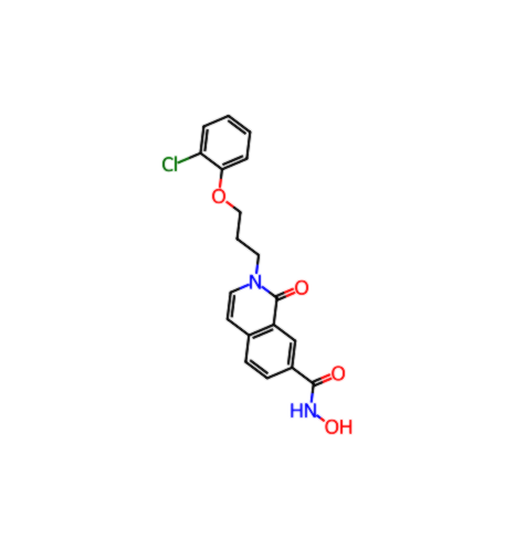 O=C(NO)c1ccc2ccn(CCCOc3ccccc3Cl)c(=O)c2c1